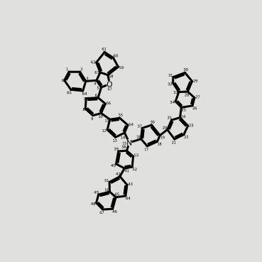 c1ccc(-c2c(-c3cccc(-c4ccc(N(c5ccc(-c6cccc(-c7ccc8ccccc8c7)c6)cc5)c5ccc(-c6ccc7ccccc7c6)cc5)cc4)c3)oc3ccccc23)cc1